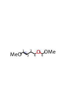 CO/C=C/CCOCOC